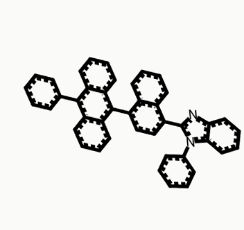 c1ccc(-c2c3ccccc3c(-c3ccc(-c4nc5ccccc5n4-c4ccccc4)c4ccccc34)c3ccccc23)cc1